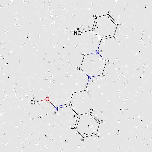 CCO/N=C(\CCN1CCN(c2ccccc2C#N)CC1)c1ccccc1